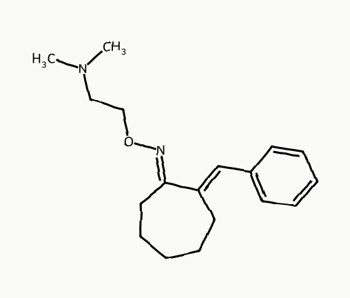 CN(C)CCON=C1CCCCCC1=Cc1ccccc1